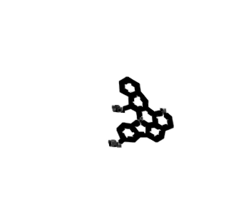 CC(C)(C)c1ccc2c(c1)c1ccc3ccnc4c5cc6ccccc6c(C(C)(C)C)c5n2c1c34